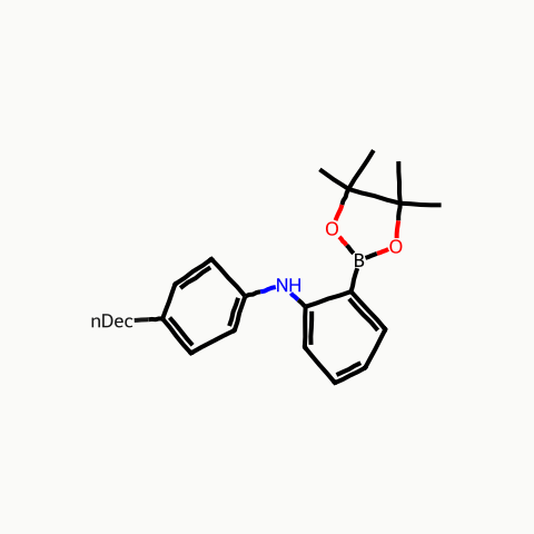 CCCCCCCCCCc1ccc(Nc2ccccc2B2OC(C)(C)C(C)(C)O2)cc1